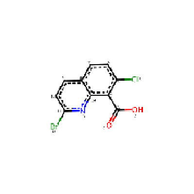 O=C(O)c1c(Cl)ccc2ccc(Br)nc12